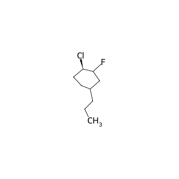 CCCC1CC[C@@H](Cl)C(F)C1